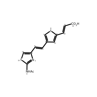 CC(=O)Nc1nc(C=Cc2csc(/C=C/C(=O)O)c2)cs1